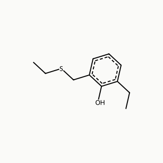 CCSCc1cccc(CC)c1O